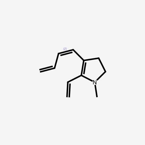 C=C/C=C\C1=C(C=C)N(C)CC1